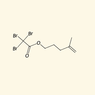 C=C(C)CCCOC(=O)C(Br)(Br)Br